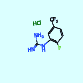 Cl.N=C(N)Nc1cc(C(F)(F)F)ccc1F